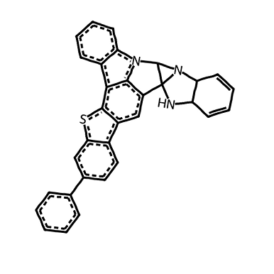 C1=CC2NC34c5cc6c7ccc(-c8ccccc8)cc7sc6c6c7ccccc7n(c56)C3N4C2C=C1